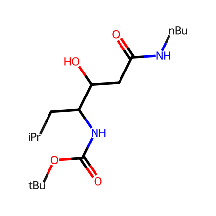 CCCCNC(=O)CC(O)C(CC(C)C)NC(=O)OC(C)(C)C